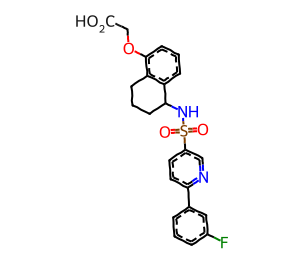 O=C(O)COc1cccc2c1CCCC2NS(=O)(=O)c1ccc(-c2cccc(F)c2)nc1